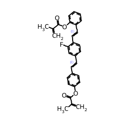 C=C(C)C(=O)Oc1ccc(/C=C/c2ccc(/C=C/c3ccccc3OC(=O)C(=C)C)c(F)c2)cc1